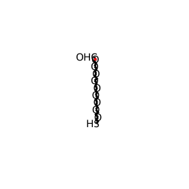 O=COCCOCCOCCOCCOCCOCCOCCOCCOCCS